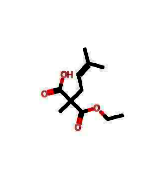 CCOC(=O)C(C)(CC=C(C)C)C(=O)O